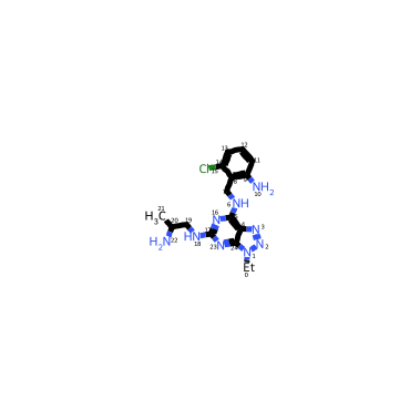 CCn1nnc2c(NCc3c(N)cccc3Cl)nc(NCC(C)N)nc21